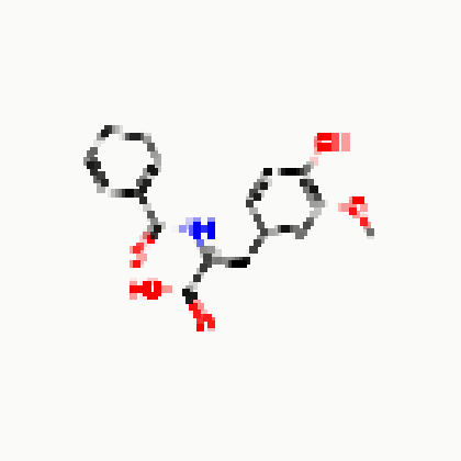 COc1cc(C[C@H](NC(=O)c2ccccc2)C(=O)O)ccc1O